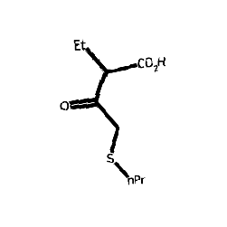 CCCSCC(=O)C(CC)C(=O)O